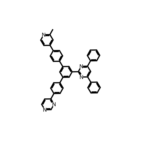 Cc1cc(-c2ccc(-c3cc(-c4ccc(-c5ccncn5)cc4)cc(-c4nc(-c5ccccc5)cc(-c5ccccc5)n4)c3)cc2)ccn1